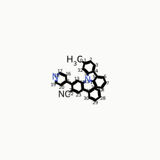 Cc1ccc2c3ccccc3n(-c3cc(-c4ccncc4)c(C#N)cc3-c3ccccc3)c2c1